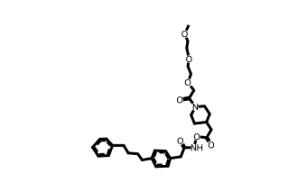 COCCOCCOCC(=O)N1CCC(CC(=O)ONC(=O)Cc2ccc(CCCCc3ccccc3)cc2)CC1